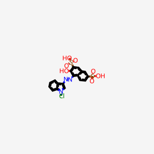 O=S(=O)(O)c1ccc2c(/N=N/c3cn(Cl)c4ccccc34)c(O)c(S(=O)(=O)O)cc2c1